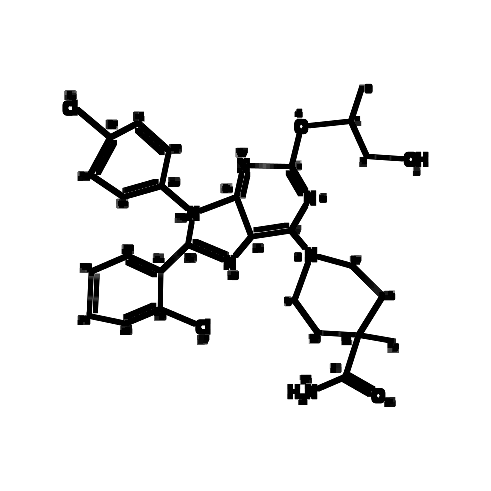 CC(CO)Oc1nc(N2CCC(C)(C(N)=O)CC2)c2nc(-c3ccccc3Cl)n(-c3ccc(Cl)cc3)c2n1